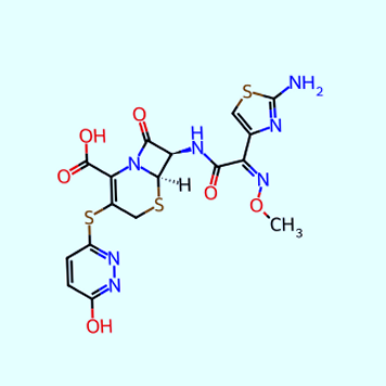 CO/N=C(\C(=O)N[C@@H]1C(=O)N2C(C(=O)O)=C(Sc3ccc(O)nn3)CS[C@H]12)c1csc(N)n1